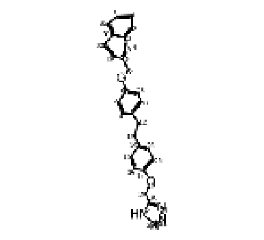 c1ccc2nc(COc3ccc(CCc4ccc(OCc5nnn[nH]5)cc4)cc3)ccc2c1